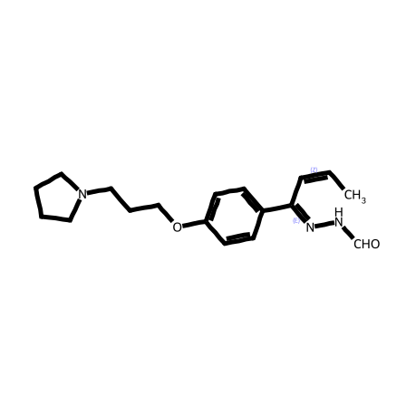 C/C=C\C(=N/NC=O)c1ccc(OCCCN2CCCC2)cc1